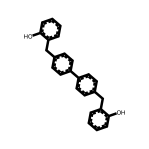 Oc1ccccc1Cc1ccc(-c2ccc(Cc3ccccc3O)cc2)cc1